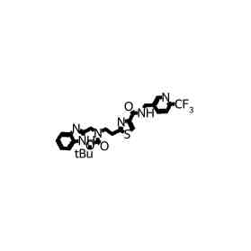 CC(C)(C)OC(=O)N(CCc1nc(C(=O)NCc2ccc(C(F)(F)F)nc2)cs1)Cc1nc2ccccc2[nH]1